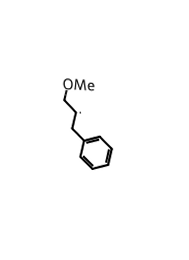 COC[CH]Cc1ccccc1